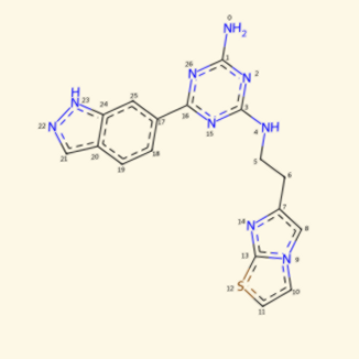 Nc1nc(NCCc2cn3ccsc3n2)nc(-c2ccc3cn[nH]c3c2)n1